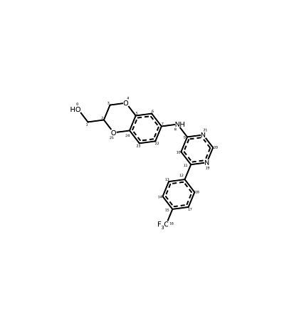 OCC1COc2cc(Nc3cc(-c4ccc(C(F)(F)F)cc4)ncn3)ccc2O1